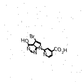 O=C(O)c1ccnc(-n2cc(Br)c3c(O)ncnc32)c1